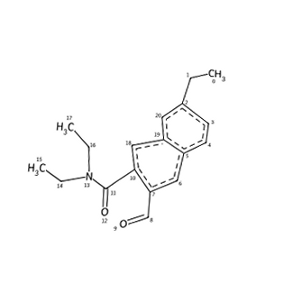 CCc1ccc2cc(C=O)c(C(=O)N(CC)CC)cc2c1